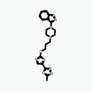 Cc1nnc(-c2cnc(OCCCN3CCN(c4nsc5ccccc45)CC3)s2)o1